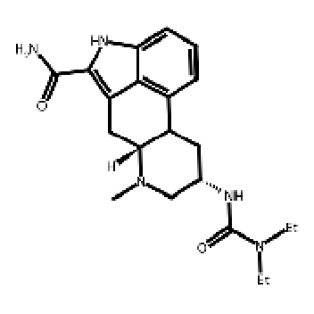 CCN(CC)C(=O)N[C@H]1CC2c3cccc4[nH]c(C(N)=O)c(c34)C[C@H]2N(C)C1